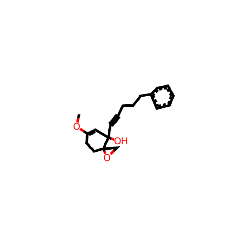 COC1=CC(O)(C#CCCCc2ccccc2)C2(CC1)CO2